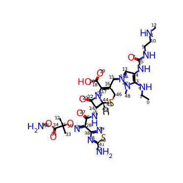 CCNc1c(NC(=O)NCCNC)c[n+](CC2=C(C(=O)O)N3C(=O)[C@@H](NC(=O)/C(=N\OC(C)(C)C(=O)ON)c4nsc(N)n4)[C@H]3SC2)n1C